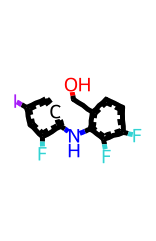 OCc1ccc(F)c(F)c1Nc1ccc(I)cc1F